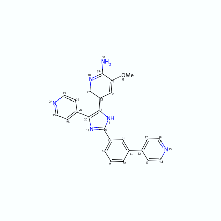 COC1=CC(c2[nH]c(-c3cccc(-c4ccncc4)c3)nc2-c2ccncc2)CN=C1N